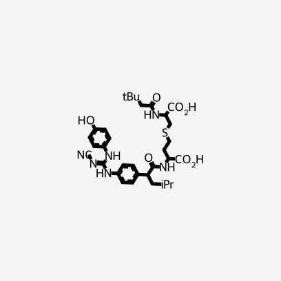 CC(C)CC(C(=O)NC(CCSCC(NC(=O)CC(C)(C)C)C(=O)O)C(=O)O)c1ccc(NC(=NC#N)Nc2ccc(O)cc2)cc1